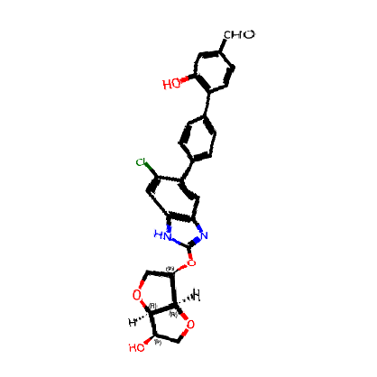 O=Cc1ccc(-c2ccc(-c3cc4nc(O[C@@H]5CO[C@H]6[C@@H]5OC[C@H]6O)[nH]c4cc3Cl)cc2)c(O)c1